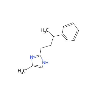 Cc1c[nH]c(CCC(C)c2ccccc2)n1